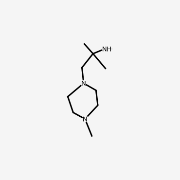 CN1CCN(CC(C)(C)[NH])CC1